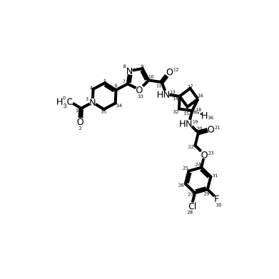 CC(=O)N1CC=C(c2ncc(C(=O)NC34CC(C3)[C@@H](NC(=O)COc3ccc(Cl)c(F)c3)C4)o2)CC1